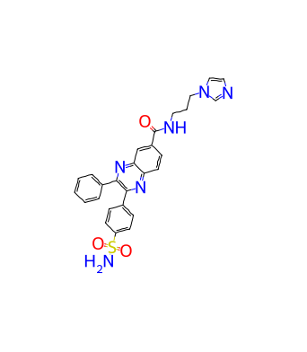 NS(=O)(=O)c1ccc(-c2nc3ccc(C(=O)NCCCn4ccnc4)cc3nc2-c2ccccc2)cc1